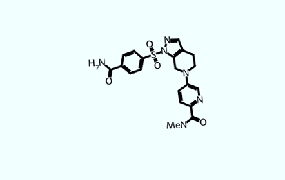 CNC(=O)c1ccc(N2CCc3cnn(S(=O)(=O)c4ccc(C(N)=O)cc4)c3C2)cn1